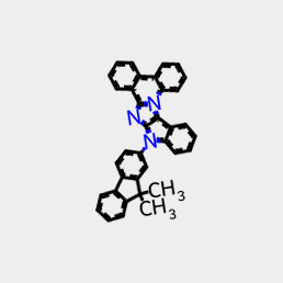 CC1(C)c2ccccc2-c2ccc(-n3c4ccccc4c4c3nc3c5ccccc5c5ccccc5n34)cc21